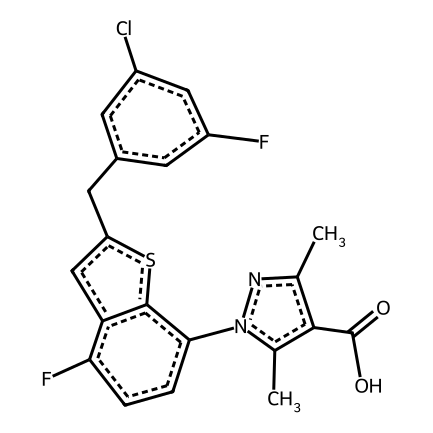 Cc1nn(-c2ccc(F)c3cc(Cc4cc(F)cc(Cl)c4)sc23)c(C)c1C(=O)O